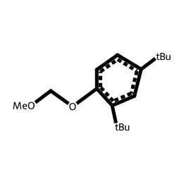 COCOc1ccc(C(C)(C)C)cc1C(C)(C)C